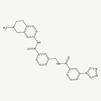 CN1CCc2ccc(NC(=O)c3cccc(CNC(=O)c4cccc(-n5cnnc5)c4)c3)cc2C1